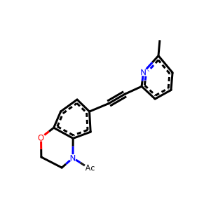 CC(=O)N1CCOc2ccc(C#Cc3cccc(C)n3)cc21